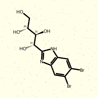 OC[C@@H](O)[C@@H](O)[C@@H](O)c1nc2cc(Br)c(Br)cc2[nH]1